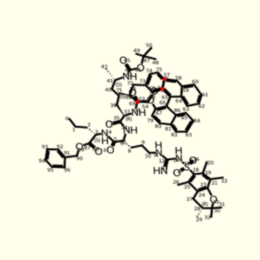 CCC[C@H](NC(=O)[C@@H](CCCNC(=N)NS(=O)(=O)c1c(C)c(C)c2c(c1C)C[C@@H](C)C(C)(C)O2)NC(=O)[C@@H](CCC[C@H](C)NC(=O)OC(C)(C)C)NC(=O)COc1ccc2ccccc2c1-c1c(OC[C@@H](C)Cc2ccccc2)ccc2ccccc12)C(=O)OCc1ccccc1